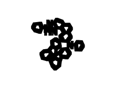 N=C1/C(=N\Nc2ccccc2)C=Cc2ccc3cc(N(c4ccccc4)c4ccc5c(c4)C4(c6ccccc6-c6ccccc64)c4ccccc4-5)ccc3c21